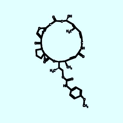 COc1ccc(NC(=O)OC[C@H](C)[C@H]2OC(=O)[C@H]3CCCN3C(=O)c3coc(n3)CC(=O)C[C@H](O)/C=C(C)/C=C/CNC(=O)/C=C/[C@H]2C)cc1